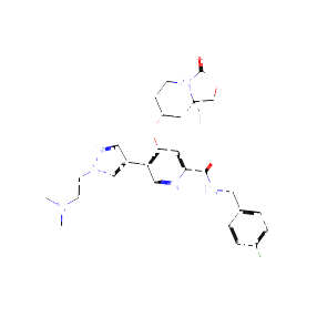 CN(C)CCn1cc(-c2cnc(C(=O)NCc3ccc(Cl)cc3)cc2O[C@H]2CCN3C(=O)OC[C@@H]3C2)cn1